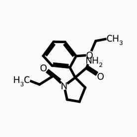 CCOc1ccccc1C1(C(N)=O)CCCN1C(=O)CC